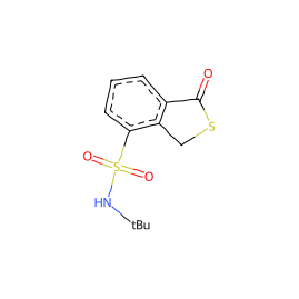 CC(C)(C)NS(=O)(=O)c1cccc2c1CSC2=O